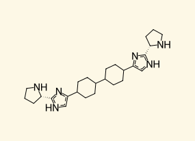 c1[nH]c([C@@H]2CCCN2)nc1C1CCC(C2CCC(c3c[nH]c([C@@H]4CCCN4)n3)CC2)CC1